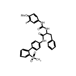 COc1ccc(NC(=O)NC(Cc2ccccc2)C(=O)Nc2ccc(-c3ccccc3S(C)(=O)=O)cc2)cc1F